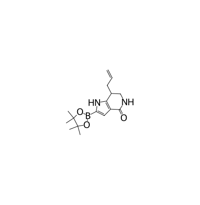 C=CCC1CNC(=O)c2cc(B3OC(C)(C)C(C)(C)O3)[nH]c21